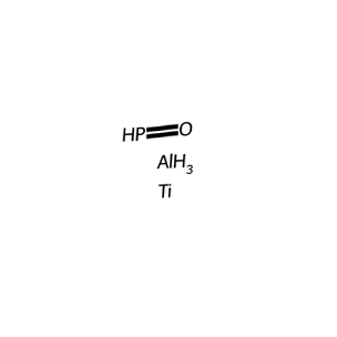 O=P.[AlH3].[Ti]